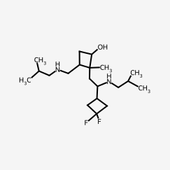 CC(C)CNCC1CC(O)C1(C)CC(NCC(C)C)C1CC(F)(F)C1